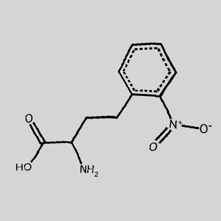 NC(CCc1ccccc1[N+](=O)[O-])C(=O)O